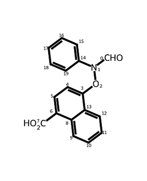 O=CN(Oc1ccc(C(=O)O)c2ccccc12)c1ccccc1